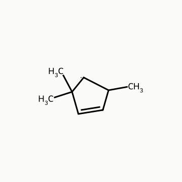 CC1[CH]C(C)(C)C=C1